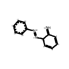 N=C1C=CC=CC1N=Nc1ccccc1